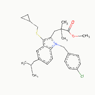 COC(=O)C(C)(C)Cc1c(SCC2CC2)c2cc(C(C)C)ccc2n1Cc1ccc(Cl)cc1